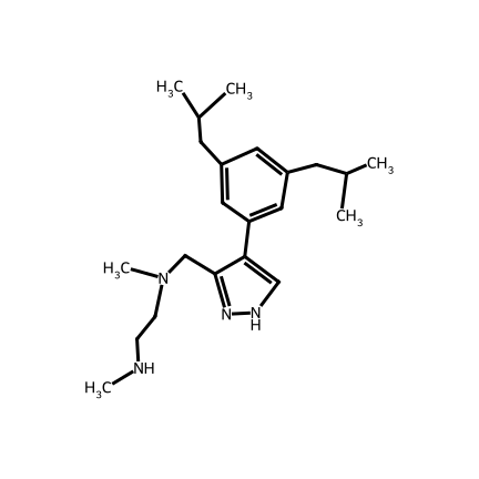 CNCCN(C)Cc1n[nH]cc1-c1cc(CC(C)C)cc(CC(C)C)c1